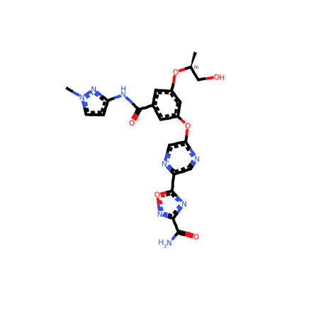 C[C@@H](CO)Oc1cc(Oc2cnc(-c3nc(C(N)=O)no3)cn2)cc(C(=O)Nc2ccn(C)n2)c1